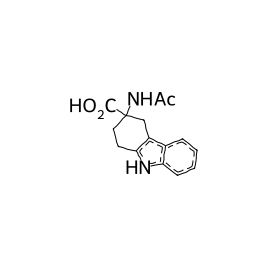 CC(=O)NC1(C(=O)O)CCc2[nH]c3ccccc3c2C1